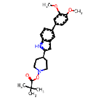 COc1ccc(-c2ccc3[nH]c(C4CCN(OC(=O)C(C)(C)C)CC4)cc3c2)cc1OC